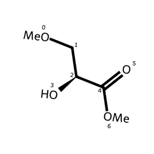 COC[C@H](O)C(=O)OC